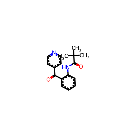 CC(C)(C)C(=O)Nc1ccccc1C(=O)c1ccncc1